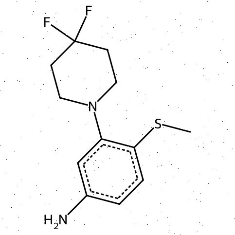 CSc1ccc(N)cc1N1CCC(F)(F)CC1